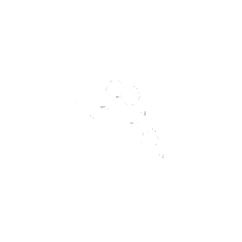 CS/C(N)=N\c1cccc2ncc(NC(=O)c3ccc(N)cn3)cc12